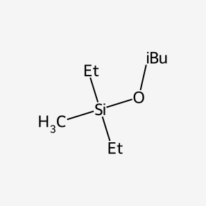 CCC(C)O[Si](C)(CC)CC